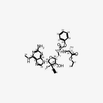 C#C[C@@]1(F)[C@H](O)[C@@H](CO[P@](=O)(N[C@H](C)C(=O)OCC)Oc2ccccc2)O[C@H]1n1cnc2c(NC)nc(N)nc21